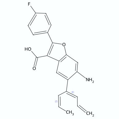 C=C/C=C(\C=C/C)c1cc2c(C(=O)O)c(-c3ccc(F)cc3)oc2cc1N